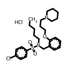 CCCCCN(Cc1ccccc1OCCCN1CCCCC1)S(=O)(=O)c1ccc(Cl)cc1.Cl